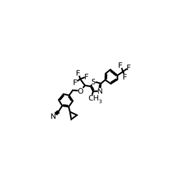 Cc1nc(-c2ccc(C(F)(F)F)cc2)sc1C(OCc1ccc(C#N)c(C2CC2)c1)C(F)(F)F